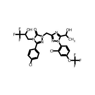 CC(O)c1nc(Cn2nc(-c3ccc(Cl)cc3)n(CC(O)C(F)(F)F)c2=O)nn1-c1ccc(OC(F)(F)F)cc1Cl